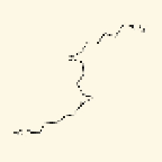 O=C(O)CCCCCC1OC1CCC1OC1CCCCCC(=O)O